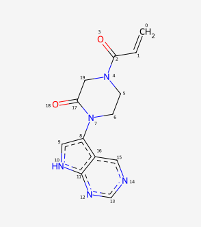 C=CC(=O)N1CCN(c2c[nH]c3ncncc23)C(=O)C1